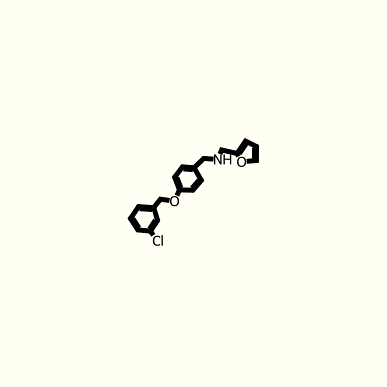 Clc1cccc(COc2ccc(CNCc3ccco3)cc2)c1